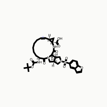 CC(C)(C)OC(=O)N[C@@H]1CCCCC/C=C\[C@H]2C[C@@]2(C(=O)O)NC(=O)[C@@H]2[C@H]3CN(S(=O)(=O)c4ccc5occc5c4)C[C@H]3CN2C1=O